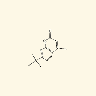 Cc1cc(=O)oc2cc(C(C)(C)C)ccc12